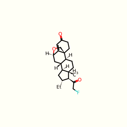 CC[C@@H]1C[C@H]2[C@@H]3C[C@H]4OC[C@@]5(CCC(=O)C=C45)[C@H]3CC[C@]2(C)[C@H]1C(=O)CF